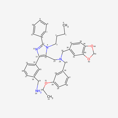 CCCCn1c(-c2ccccc2)nc(-c2cccc(CN)c2)c1CN(Cc1cccc(OCC)c1)Cc1ccc2c(c1)OCO2